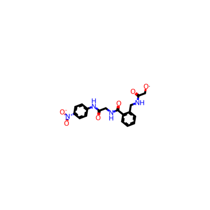 [O]CC(=O)NCc1ccccc1C(=O)NCC(=O)Nc1ccc([N+](=O)[O-])cc1